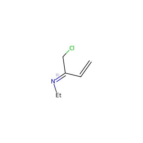 C=C/C(CCl)=N\CC